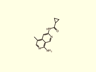 Cc1cnc(N)c2cnc(NC(=O)C3CC3)cc12